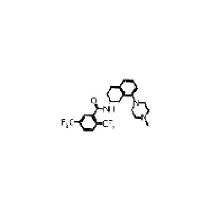 CN1CCN(c2cccc3c2C[C@H](NC(=O)c2cc(C(F)(F)F)ccc2C(F)(F)F)CC3)CC1